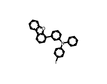 Ic1ccc(N(c2ccccc2)c2cccc(-c3cccc4c3oc3ccccc34)c2)cc1